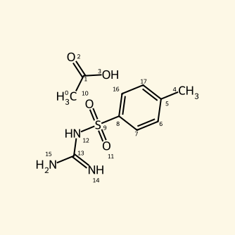 CC(=O)O.Cc1ccc(S(=O)(=O)NC(=N)N)cc1